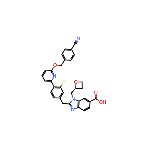 N#Cc1ccc(COc2cccc(-c3ccc(Cc4nc5ccc(C(=O)O)cc5n4C[C@@H]4CCO4)cc3F)n2)cc1